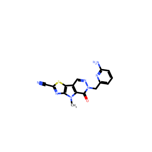 Cn1c2nc(C#N)sc2c2cnn(Cc3cccc(N)n3)c(=O)c21